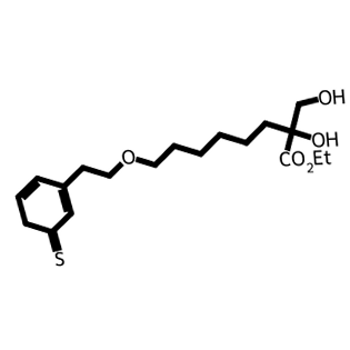 CCOC(=O)C(O)(CO)CCCCCCOCCC1=CC(=S)CC=C1